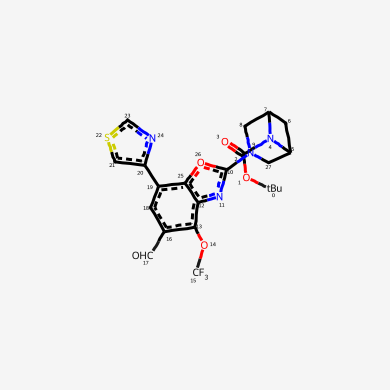 CC(C)(C)OC(=O)N1C2CC1CN(c1nc3c(OC(F)(F)F)c(C=O)cc(-c4cscn4)c3o1)C2